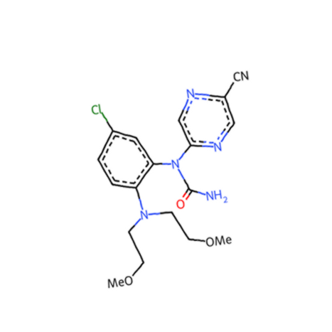 COCCN(CCOC)c1ccc(Cl)cc1N(C(N)=O)c1cnc(C#N)cn1